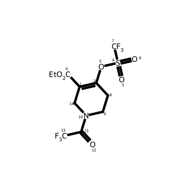 CCOC(=O)C1=C(OS(=O)(=O)C(F)(F)F)CCN(C(=O)C(F)(F)F)C1